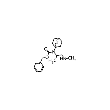 CNCC(C)N(C(=O)OCc1ccccc1)C12CCC(CC1)CC2